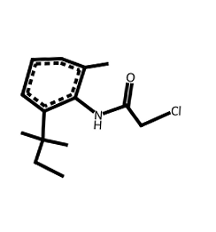 CCC(C)(C)c1cccc(C)c1NC(=O)CCl